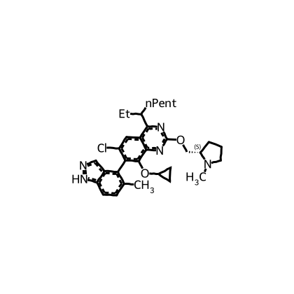 CCCCCC(CC)c1nc(OC[C@@H]2CCCN2C)nc2c(OC3CC3)c(-c3c(C)ccc4[nH]ncc34)c(Cl)cc12